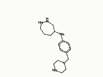 c1cc(NC2CCCNNC2)ccc1CN1CCNCC1